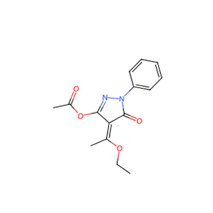 CCOC(C)=C1C(=O)N(c2ccccc2)N=C1OC(C)=O